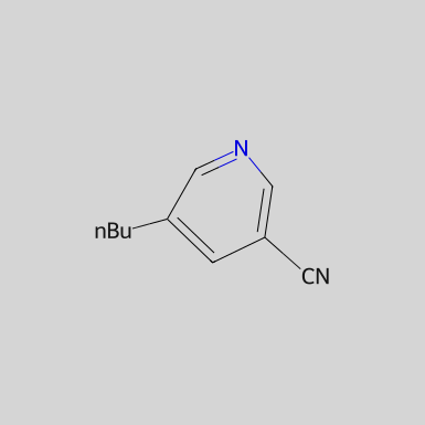 CCCCc1cncc(C#N)c1